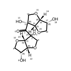 O=C([C@@]1(O)CO[C@@H]2[C@H](O)CO[C@@H]21)[C@@]1(O)CO[C@@H]2[C@H](O)CO[C@@H]21